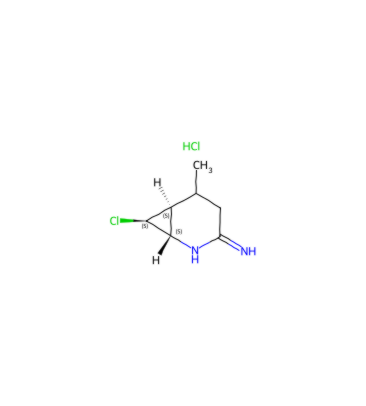 CC1CC(=N)N[C@@H]2[C@@H](Cl)[C@@H]12.Cl